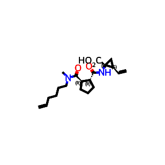 C=CCCCCN(C)C(=O)[C@@H]1CCC[C@H]1C(=O)N[C@]1(C(=O)O)C[C@H]1C=C